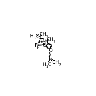 CCN(CC)CCCOc1ccc(C(C)N(CCN(C)C)S(=O)(=O)CC(F)(F)F)cc1